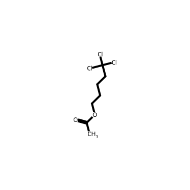 CC(=O)OCCCCC(Cl)(Cl)Cl